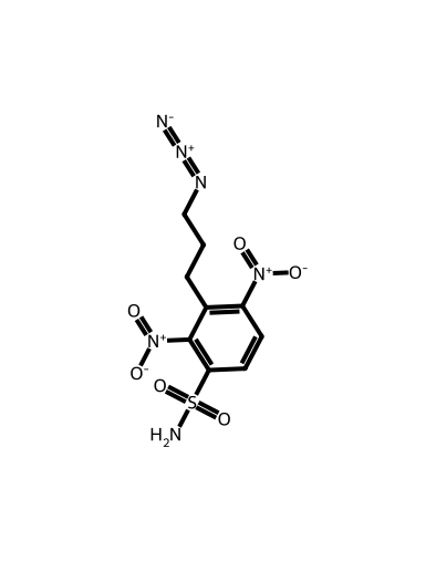 [N-]=[N+]=NCCCc1c([N+](=O)[O-])ccc(S(N)(=O)=O)c1[N+](=O)[O-]